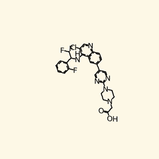 O=C(O)CN1CCN(c2ncc(-c3ccc4ncc(Cl)c(NC(c5ccccc5F)C(F)F)c4c3)cn2)CC1